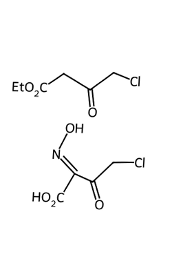 CCOC(=O)CC(=O)CCl.O=C(O)C(=NO)C(=O)CCl